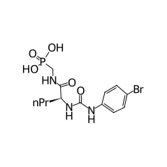 CCC[C@H](NC(=O)Nc1ccc(Br)cc1)C(=O)NCP(=O)(O)O